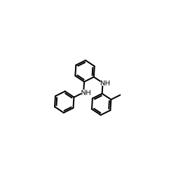 Cc1ccccc1Nc1ccccc1Nc1ccccc1